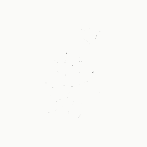 CC(C)(C)OC(=O)NC(C)(C)C(=O)N[C@H](COCc1ccccc1)C(=O)N1CCC(CN2C(=O)c3ccccc3C2=O)CC1